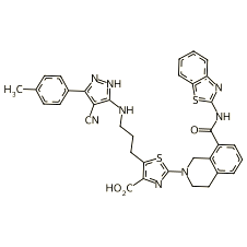 Cc1ccc(-c2n[nH]c(NCCCc3sc(N4CCc5cccc(C(=O)Nc6nc7ccccc7s6)c5C4)nc3C(=O)O)c2C#N)cc1